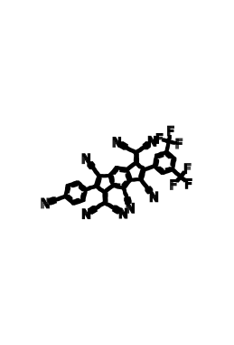 N#CC(C#N)=C1C(c2cc(C(F)(F)F)cc(C(F)(F)F)c2)=C(C#N)c2c1cc1c(c2C#N)C(=C(C#N)C#N)C(c2ccc(C#N)cc2)=C1C#N